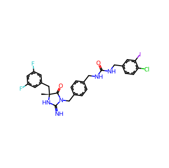 C[C@]1(Cc2cc(F)cc(F)c2)NC(=N)N(Cc2ccc(CNC(=O)NCc3ccc(Cl)c(I)c3)cc2)C1=O